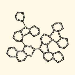 c1ccc(-n2c3ccccc3c3c(-c4nc(-n5c6ccc7ccccc7c6c6c7c8ccccc8c8ccccc8c7ccc65)nc5ccc6ccccc6c45)cccc32)cc1